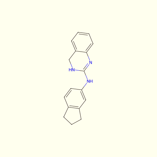 c1ccc2c(c1)CNC(Nc1ccc3c(c1)CCC3)=N2